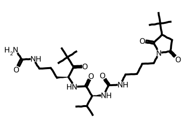 CC(C)[C@H](NC(=O)NCCCCN1C(=O)CC(C(C)(C)C)C1=O)C(=O)N[C@@H](CCCNC(N)=O)C(=O)C(C)(C)C